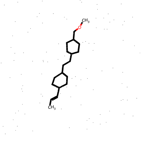 C/C=C/C1CCC(CCC2CCC(COC)CC2)CC1